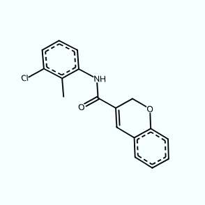 Cc1c(Cl)cccc1NC(=O)C1=Cc2ccccc2OC1